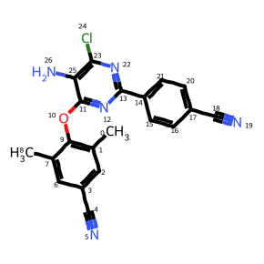 Cc1cc(C#N)cc(C)c1Oc1nc(-c2ccc(C#N)cc2)nc(Cl)c1N